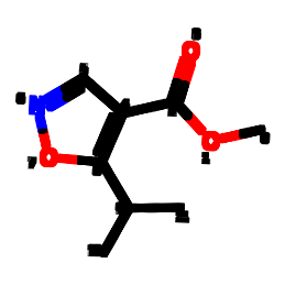 COC(=O)c1cnoc1C(C)C